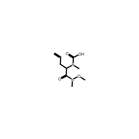 C=CCC(C(=O)N(C)OC)N(C)C(=O)O